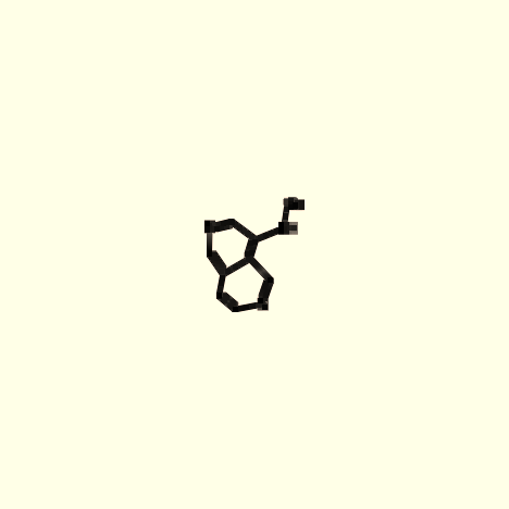 CC(C)(C)Nc1cncc2ccncc12